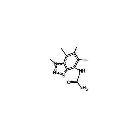 Cc1c(C)c(C)c2c(nnn2C)c1NC(N)=O